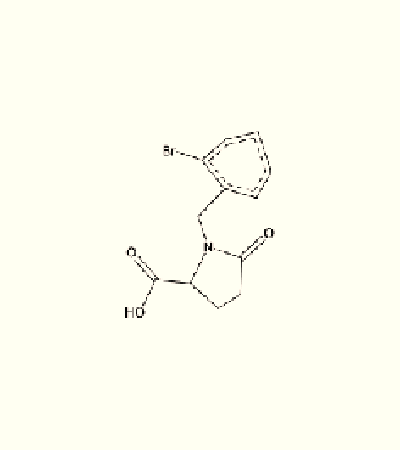 O=C(O)C1CCC(=O)N1Cc1ccccc1Br